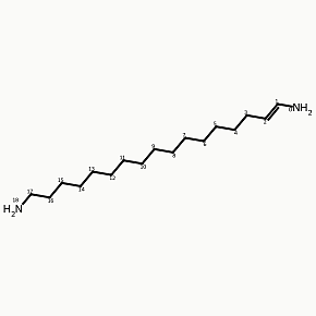 NC=CCCCCCCCCCCCCCCCN